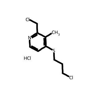 Cc1c(SCCCCl)ccnc1CCl.Cl